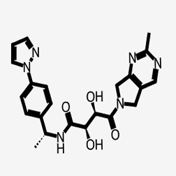 Cc1ncc2c(n1)CN(C(=O)[C@H](O)[C@@H](O)C(=O)N[C@H](C)c1ccc(-n3cccn3)cc1)C2